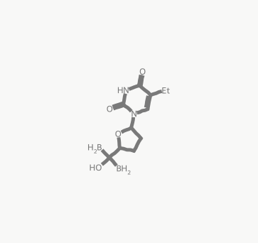 BC(B)(O)C1CCC(n2cc(CC)c(=O)[nH]c2=O)O1